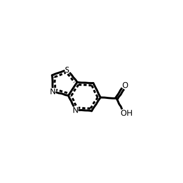 O=C(O)c1cnc2ncsc2c1